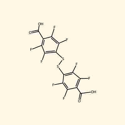 O=C(O)c1c(F)c(F)c(SSc2c(F)c(F)c(C(=O)O)c(F)c2F)c(F)c1F